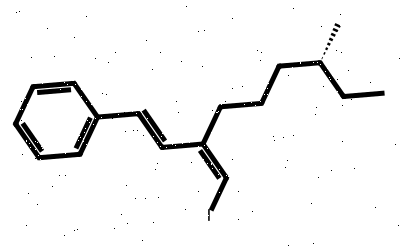 CC[C@@H](C)CCCC(=C/I)/C=C/c1ccccc1